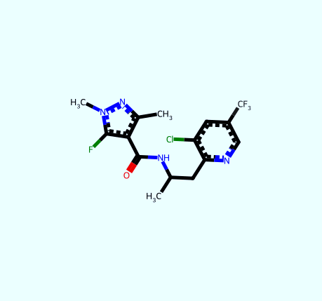 Cc1nn(C)c(F)c1C(=O)NC(C)Cc1ncc(C(F)(F)F)cc1Cl